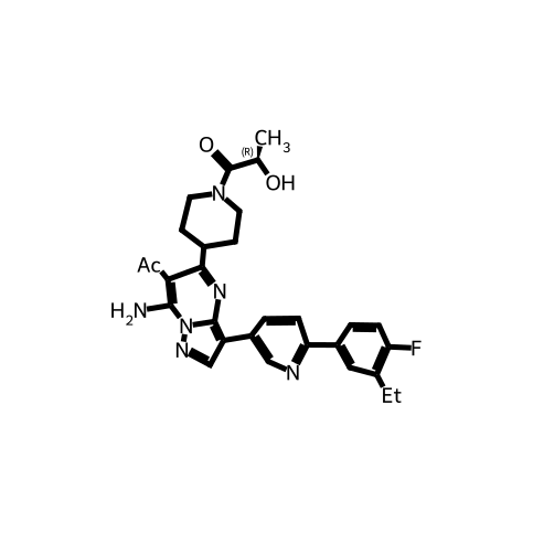 CCc1cc(-c2ccc(-c3cnn4c(N)c(C(C)=O)c(C5CCN(C(=O)[C@@H](C)O)CC5)nc34)cn2)ccc1F